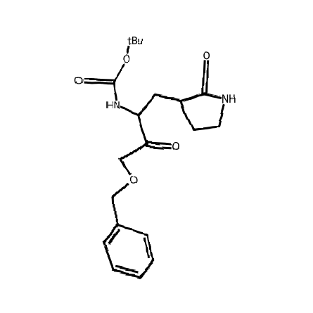 CC(C)(C)OC(=O)NC(CC1CCNC1=O)C(=O)COCc1ccccc1